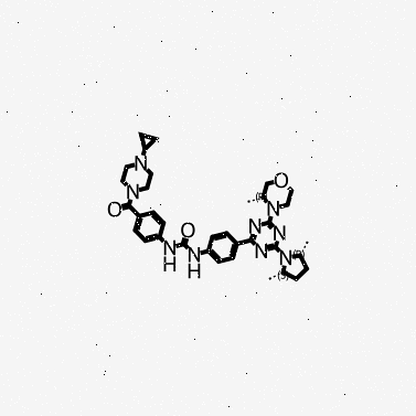 C[C@@H]1COCCN1c1nc(-c2ccc(NC(=O)Nc3ccc(C(=O)N4CCN(C5CC5)CC4)cc3)cc2)nc(N2[C@H](C)CC[C@@H]2C)n1